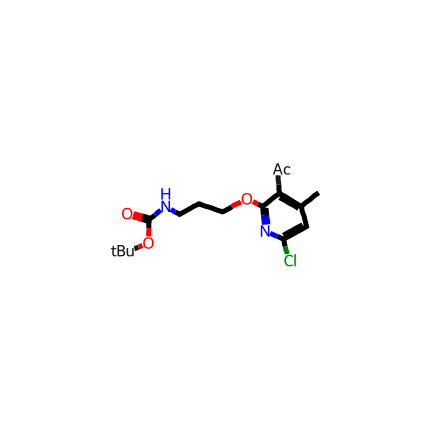 CC(=O)c1c(C)cc(Cl)nc1OCCCNC(=O)OC(C)(C)C